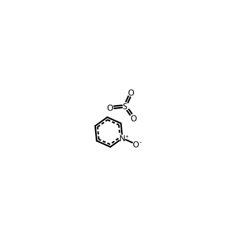 O=S(=O)=O.[O-][n+]1ccccc1